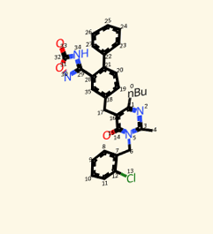 CCCCc1nc(C)n(Cc2ccccc2Cl)c(=O)c1Cc1ccc(-c2ccccc2)c(-c2noc(=O)[nH]2)c1